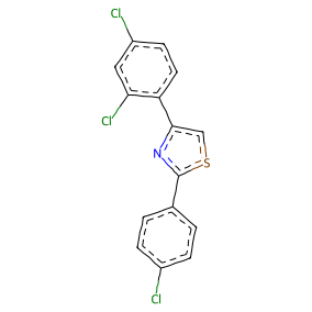 Clc1ccc(-c2nc(-c3ccc(Cl)cc3Cl)cs2)cc1